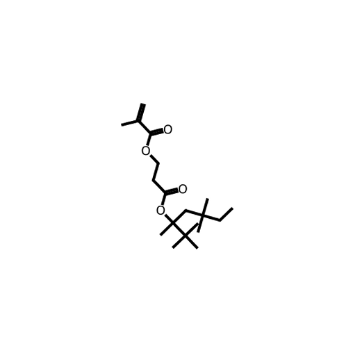 C=C(C)C(=O)OCCC(=O)OC(C)(CC(C)(C)CC)C(C)(C)C